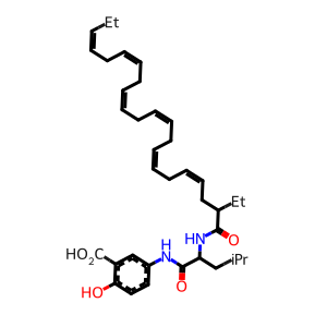 CC/C=C\C/C=C\C/C=C\C/C=C\C/C=C\C/C=C\CC(CC)C(=O)NC(CC(C)C)C(=O)Nc1ccc(O)c(C(=O)O)c1